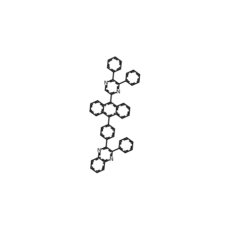 c1ccc(-c2ncc(-c3c4ccccc4c(-c4ccc(-c5nc6ccccc6nc5-c5ccccc5)cc4)c4ccccc34)nc2-c2ccccc2)cc1